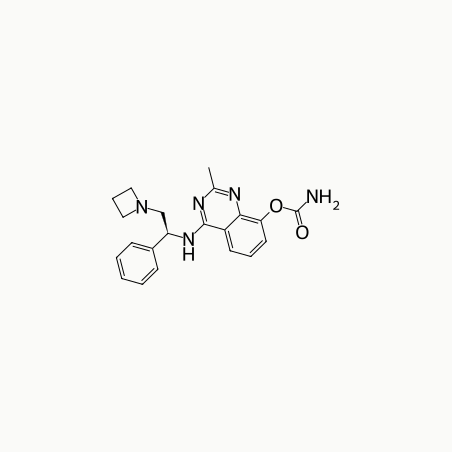 Cc1nc(N[C@H](CN2CCC2)c2ccccc2)c2cccc(OC(N)=O)c2n1